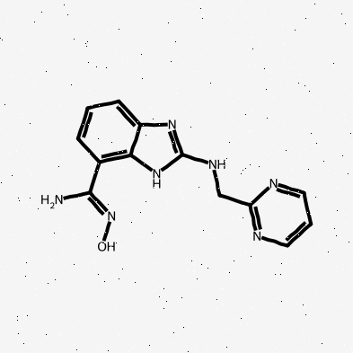 NC(=NO)c1cccc2nc(NCc3ncccn3)[nH]c12